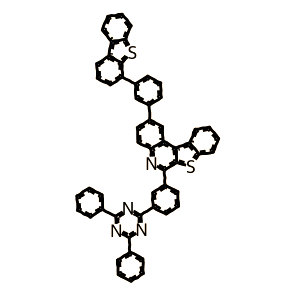 c1ccc(-c2nc(-c3ccccc3)nc(-c3cccc(-c4nc5ccc(-c6cccc(-c7cccc8c7sc7ccccc78)c6)cc5c5c4sc4ccccc45)c3)n2)cc1